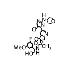 COc1cc(F)cc(C(CO)NC(=O)C(C)N2Cc3ncc(-c4nc(NC5CCOCC5)ncc4Cl)cc3C2=O)c1